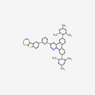 Cc1cc(C)c(-c2ccc3c4ccc(-c5c(C)cc(C)cc5C)cc4c4nc(-c5cccc(-c6ccc7sc8c(c7c6)C=CCC8)c5)cnc4c3c2)c(C)c1